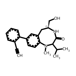 C#Cc1ccccc1-c1ccc2c(c1)C[C@@H](CO)NC(=O)C(C(C)C)N2C